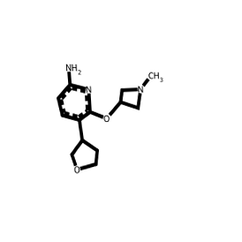 CN1CC(Oc2nc(N)ccc2C2CCOC2)C1